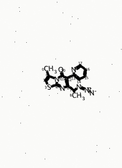 Cc1csc2nc(C(C)N=[N+]=[N-])c(-c3ccccn3)c(=O)n12